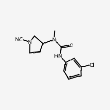 CN(C(=O)Nc1cccc(Cl)c1)C1CCN(C#N)C1